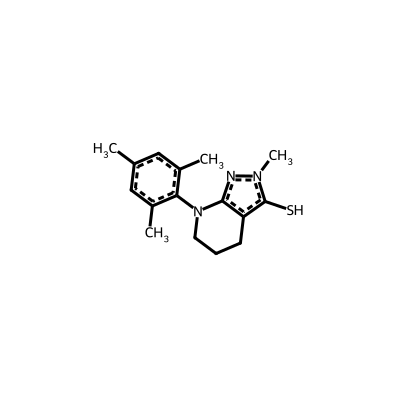 Cc1cc(C)c(N2CCCc3c2nn(C)c3S)c(C)c1